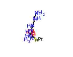 [CH2][CH]CSC[C@H](N)C(=O)N[C@@H](CO)C(=O)NCCCNCCCCNCCCN